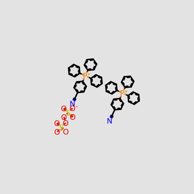 N#Cc1ccc([P+](c2ccccc2)(c2ccccc2)c2ccccc2)cc1.N#Cc1ccc([P+](c2ccccc2)(c2ccccc2)c2ccccc2)cc1.O=S(=O)([O-])OOS(=O)(=O)[O-]